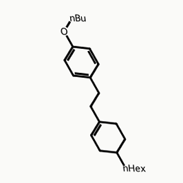 CCCCCCC1CC=C(CCc2ccc(OCCCC)cc2)CC1